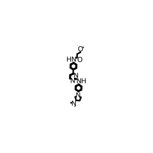 COCCC(=O)Nc1ccc(-c2ccnc(Nc3ccc(N4CC[C@@H](N(C)C)C4)cc3)n2)cc1